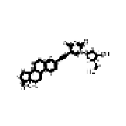 C[C@]12CCC3c4ccc(C#Cc5cn([C@H]6C[C@@H](O)[C@@H](CO)O6)c(=O)[nH]c5=O)cc4CCC3C1CCC2=O